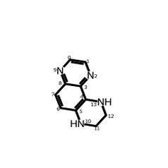 c1cnc2c3c(ccc2n1)NCCN3